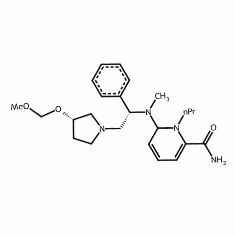 CCCN1C(C(N)=O)=CC=CC1N(C)[C@H](CN1CC[C@H](OCOC)C1)c1ccccc1